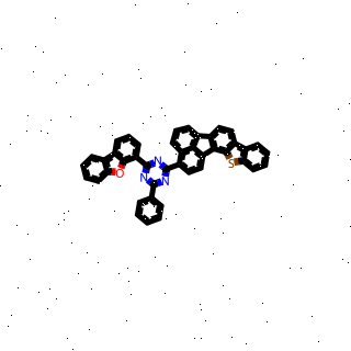 c1ccc(-c2nc(-c3ccc4c5c(cccc35)-c3ccc5c(sc6ccccc65)c3-4)nc(-c3cccc4c3oc3ccccc34)n2)cc1